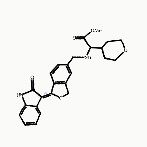 COC(=O)C(NCc1ccc2c(c1)CO/C2=C1/C(=O)Nc2ccccc21)C1CCOCC1